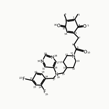 CC1=C(C)C(=O)C(CCC(=O)N2CCC(CN(Cc3ccc(F)cc3F)c3cncnc3)CC2)=CC1=O